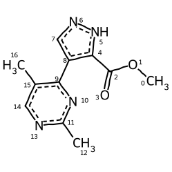 COC(=O)c1[nH]ncc1-c1nc(C)ncc1C